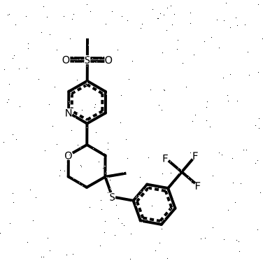 CC1(Sc2cccc(C(F)(F)F)c2)CCOC(c2ccc(S(C)(=O)=O)cn2)C1